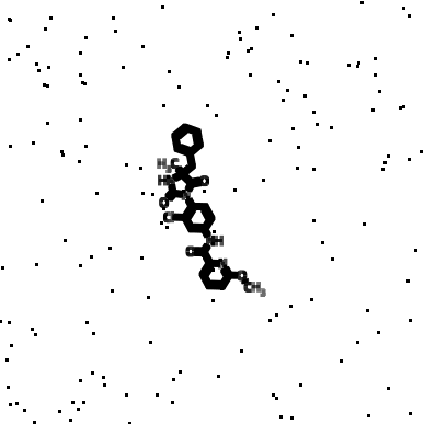 COc1cccc(C(=O)Nc2ccc(N3C(=O)NC(C)(Cc4ccccc4)C3=O)c(Cl)c2)n1